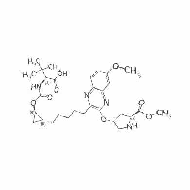 COC(=O)[C@@H]1CC(Oc2nc3cc(OC)ccc3nc2CCCCC[C@@H]2C[C@H]2OC(=O)N[C@H](C(=O)O)C(C)(C)C)CN1